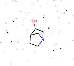 OC1CN2CCC1C2